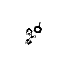 O=C(N1N=CC[C@H]1c1cccc(F)c1)n1ccnc1